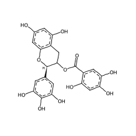 O=C(OC1Cc2c(O)cc(O)cc2O[C@@H]1c1cc(O)c(O)c(O)c1)c1cc(O)c(O)cc1O